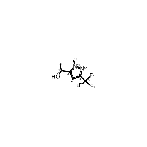 CC(O)c1cc(C(F)(F)F)nn1C